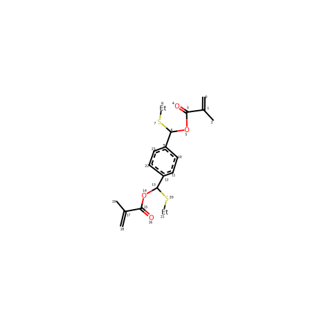 C=C(C)C(=O)OC(SCC)c1ccc(C(OC(=O)C(=C)C)SCC)cc1